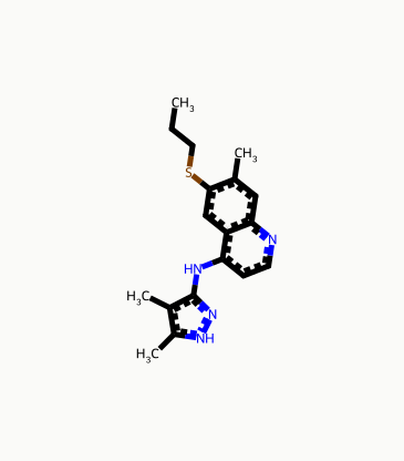 CCCSc1cc2c(Nc3n[nH]c(C)c3C)ccnc2cc1C